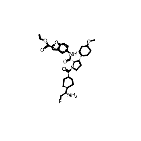 CCOC(=O)c1cc2cc(NC(=O)[C@@H]3[C@H](C4CCC(OC)CC4)CCN3C(=O)[C@H]3CC[C@H]([C@H](N)CF)CC3)ccc2o1